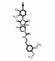 COc1ccc(CCNC(=S)N2C[C@H]3CC2[C@H]2C(=O)N(c4ccc(C#N)c(Cl)c4C)C(=O)N32)cc1OC